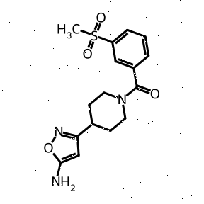 CS(=O)(=O)c1cccc(C(=O)N2CCC(c3cc(N)on3)CC2)c1